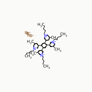 CCCCC[n+]1cc(C)cc(-c2cc(-c3cc(C)c[n+](CCCCC)c3)c(-c3cc(C)c[n+](CCCCC)c3)cc2-c2cc(C)c[n+](CCCCC)c2)c1.[Br-].[Br-].[Br-].[Br-]